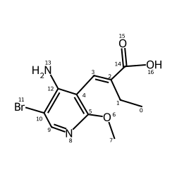 CCC(=Cc1c(OC)ncc(Br)c1N)C(=O)O